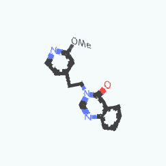 COc1cc(CCn2cnc3ccccc3c2=O)ccn1